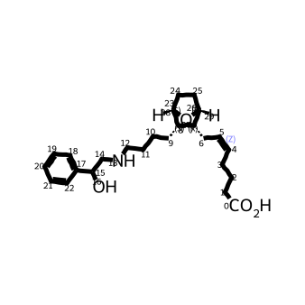 O=C(O)CCC/C=C\C[C@@H]1[C@H](CCCCNCC(O)c2ccccc2)[C@@H]2CC[C@H]1O2